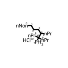 CCCCCCCCCCCCC(CCC)C(P)(CCC)CCC.Cl